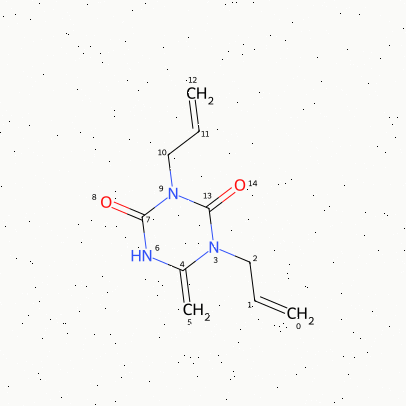 C=CCN1C(=C)NC(=O)N(CC=C)C1=O